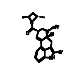 CCCN1C[C@H](C(=O)N2[C@@H](C)C[C@@H]2C)C=C2c3cccc4[nH]c(Br)c(c34)C[C@H]21